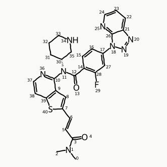 CN(C)C(=O)/C=C/c1cc2c(N(C(=O)c3ccc(-n4nnc5cccnc54)cc3F)[C@@H]3CCCNC3)nccc2s1